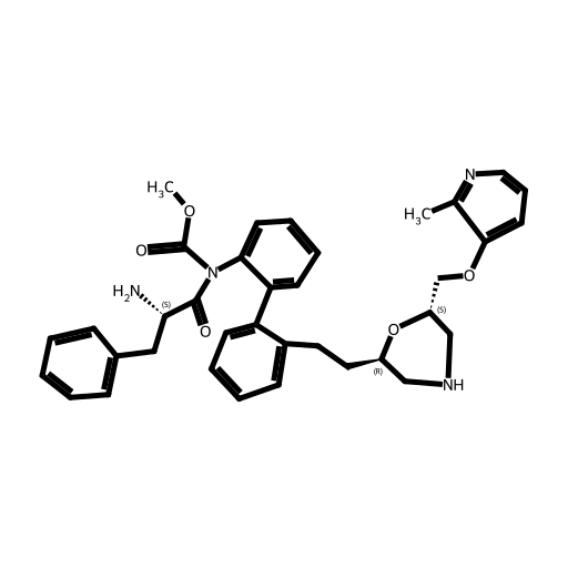 COC(=O)N(C(=O)[C@@H](N)Cc1ccccc1)c1ccccc1-c1ccccc1CC[C@@H]1CNC[C@@H](COc2cccnc2C)O1